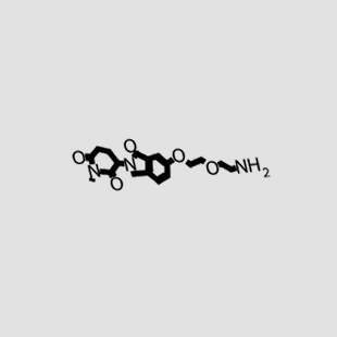 CN1C(=O)CCC(N2Cc3ccc(OCCOCCN)cc3C2=O)C1=O